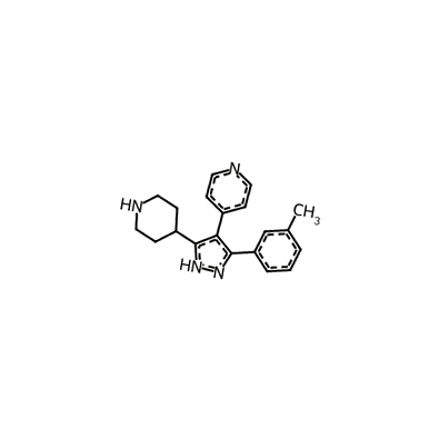 Cc1cccc(-c2n[nH]c(C3CCNCC3)c2-c2ccncc2)c1